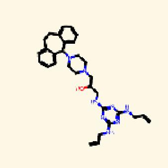 C=CCNc1nc(NCC=C)nc(NCC(O)CN2CCN(C3c4ccccc4CCc4ccccc43)CC2)n1